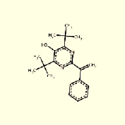 C=C(c1ccccc1)c1nc(C(C)(C)C)c(O)c(C(C)(C)C)n1